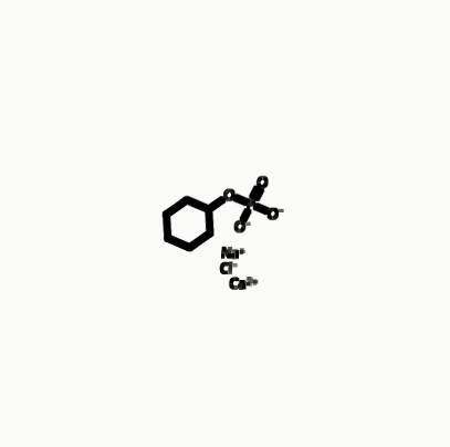 O=P([O-])([O-])OC1CCCCC1.[Ca+2].[Cl-].[Na+]